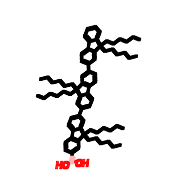 CCCCCCC1(CCCCCC)c2ccccc2-c2ccc(-c3ccc4c(c3)C(CCCCCC)(CCCCCC)c3cc(-c5ccc6c(c5)C(CCCCCC)(CCCCCC)c5cc(B(O)O)ccc5-6)ccc3-4)cc21